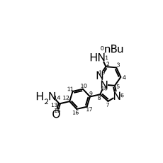 CCCCNc1ccc2ncc(-c3ccc(C(N)=O)cc3)n2n1